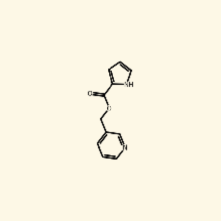 O=C(OCc1cccnc1)c1ccc[nH]1